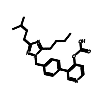 CCCCc1nc(CCC(C)C)nn1Cc1ccc(-c2cnccc2OC(=O)O)cc1